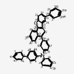 c1ccc(-c2ccc(N(c3ccccc3)c3cccc(-c4cc5c6cc(-c7ccccc7)ccc6oc5c5ccccc45)c3)cc2)cc1